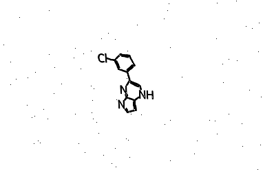 Clc1cccc(-c2c[nH]c3ccnc-3n2)c1